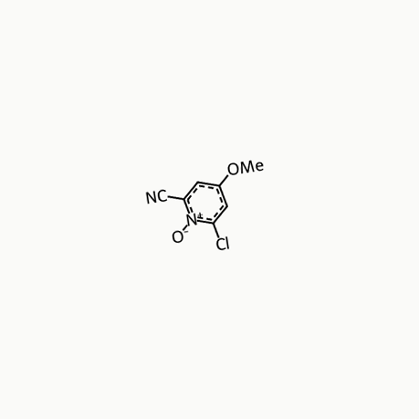 COc1cc(Cl)[n+]([O-])c(C#N)c1